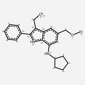 CCOCc1cc(NC2CCCC2)c2[nH]c(-c3ccccc3)c(CC(F)(F)F)c2c1